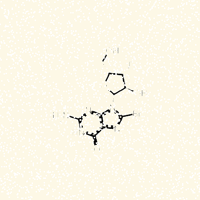 Nc1nc2c(nc(Br)n2[C@@H]2O[C@H](CO)[C@H](F)[C@H]2O)c(=O)[nH]1